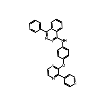 c1ccc(-c2nnc(Nc3ccc(Oc4nccnc4-c4ccncc4)cc3)c3ccccc23)cc1